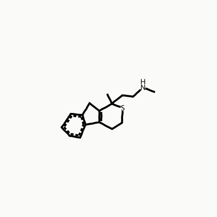 CNCCC1(C)SCCC2=C1Cc1ccccc12